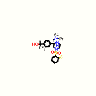 CC(=O)N(C[C@@]1(c2ccc(C(C)(O)C(F)(F)F)cc2)CN(S(=O)(=O)C2=CC=CCC2=S)CCN1)C(C)C